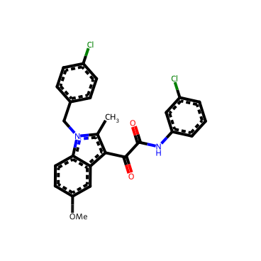 COc1ccc2c(c1)c(C(=O)C(=O)Nc1cccc(Cl)c1)c(C)n2Cc1ccc(Cl)cc1